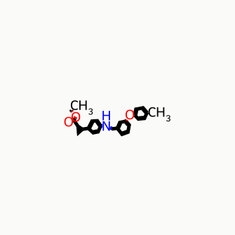 CCOC(=O)C1CC1c1ccc(NCc2cccc(Oc3ccc(C)cc3)c2)cc1